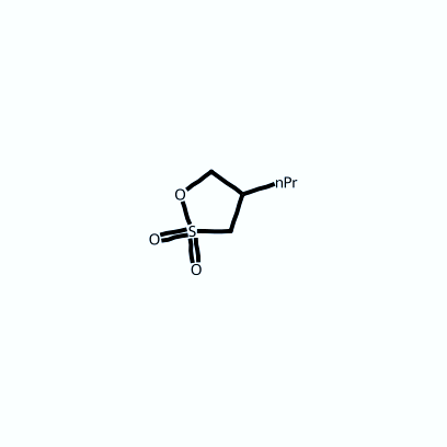 CCCC1COS(=O)(=O)C1